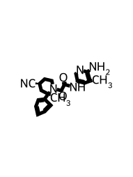 Cc1cc(NC(=O)C(=O)N2CC[C@H](C#N)C[C@@]2(C)c2ccccc2)cnc1N